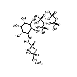 O=P(O)(O)OP(=O)(O)O.O=P(O)(O)OP(=O)(O)O.O=P(O)(O)OP(=O)(O)O.O[C@H]1[C@H](O)[C@@H](O)[C@H](O)[C@@H](O)[C@H]1O.[CaH2]